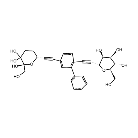 OC[C@H]1O[C@H](C#Cc2ccc(C#C[C@H]3CCC(O)(O)[C@@](O)(CO)O3)cc2-c2ccccc2)[C@@H](O)[C@@H](O)[C@@H]1O